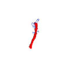 O=CCCOCCOCCOCCOCCOCCOCCOCCOCCNC(=O)CCCCCNC(=O)CCCCCNC(=O)CCCCC1SCC2NC(=O)NC21